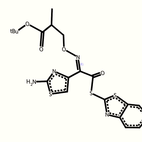 CC(CO/N=C(/C(=O)Sc1nc2ccccc2s1)c1csc(N)n1)C(=O)OC(C)(C)C